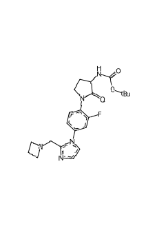 CC(C)(C)OC(=O)NC1CCN(c2ccc(-n3ccnc3CN3CCC3)cc2F)C1=O